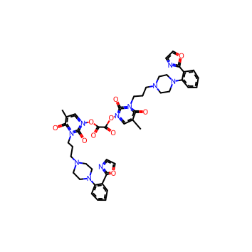 Cc1cn(OC(=O)C(=O)On2cc(C)c(=O)n(CCCN3CCN(c4ccccc4-c4ncco4)CC3)c2=O)c(=O)n(CCCN2CCN(c3ccccc3-c3ncco3)CC2)c1=O